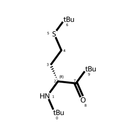 CC(C)(C)N[C@H](CCSC(C)(C)C)C(=O)C(C)(C)C